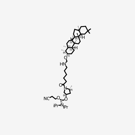 CC(C)N(C(C)C)P(OCCC#N)O[C@@H]1C[C@@H](C)N(C(=O)CCCCCNCO[C@H]2CC[C@@H]3[C@](C)(CC[C@H]4[C@@]3(C)CC[C@@]3(C)[C@@H]5CC(C)(C)CC[C@]5(C)CC[C@]43C)[C@H]2C)C1